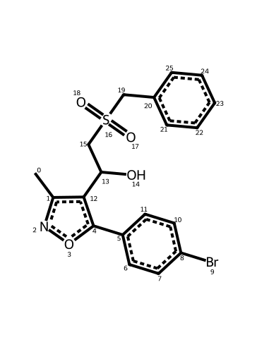 Cc1noc(-c2ccc(Br)cc2)c1C(O)CS(=O)(=O)Cc1ccccc1